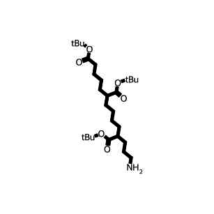 CC(C)(C)OC(=O)CCCCC(CCCCC(CCCN)C(=O)OC(C)(C)C)C(=O)OC(C)(C)C